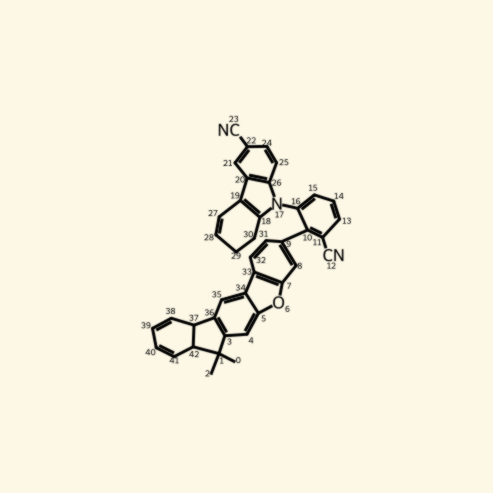 CC1(C)c2cc3oc4cc(-c5c(C#N)cccc5-n5c6c(c7cc(C#N)ccc75)C=CCC6)ccc4c3cc2C2C=CC=CC21